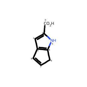 O=C(O)c1cc2c([nH]1)CC=C2